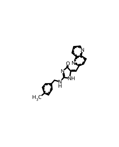 Cc1ccc(CNC2=NC(=O)C(=Cc3ccc4ncccc4n3)N2)cc1